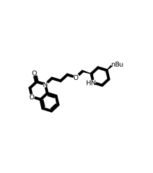 CCCC[C@H]1CCN[C@@H](COCCCN2C(=O)COc3ccccc32)C1